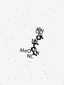 COc1cc(-c2cnn(C3CN(C(=O)OC(C)(C)C)C(C)(C)C3)c2C)cn2ncc(C#N)c12